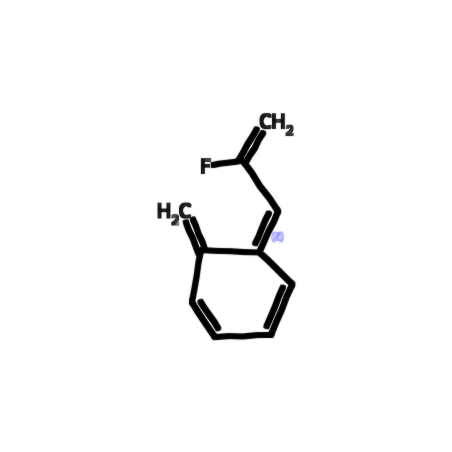 C=C(F)/C=c1/ccccc1=C